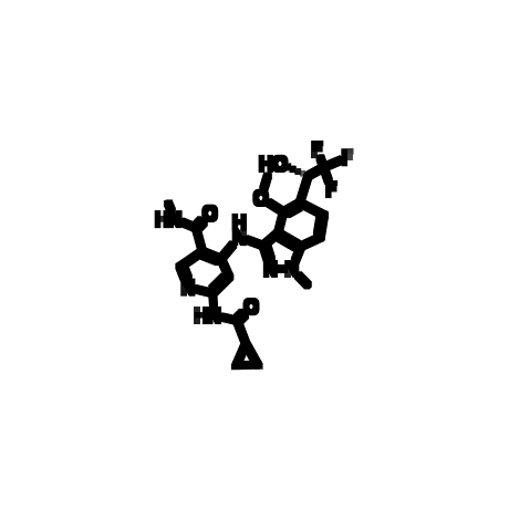 CNC(=O)c1cnc(NC(=O)C2CC2)cc1Nc1nn(C)c2ccc([C@H](O)C(F)(F)F)c(OC)c12